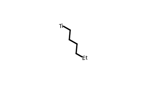 CCCCC[CH2][Ti]